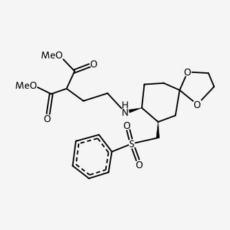 COC(=O)C(CCN[C@H]1CCC2(C[C@H]1CS(=O)(=O)c1ccccc1)OCCO2)C(=O)OC